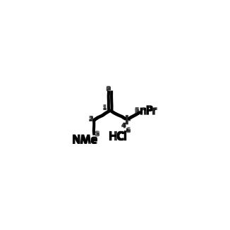 C=C(CNC)[I]CCC.Cl